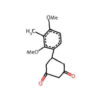 COc1ccc(C2CC(=O)CC(=O)C2)c(OC)c1C